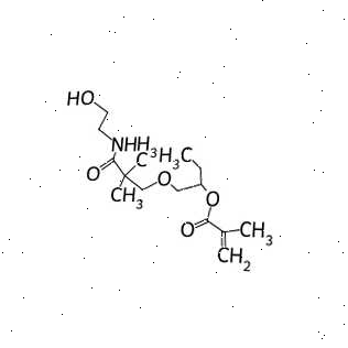 C=C(C)C(=O)OC(CC)COCC(C)(C)C(=O)NCCO